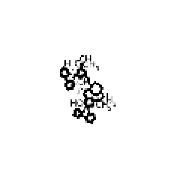 C=C(Cc1cc(C(C)(C)C)cc(-n2c3ccccc3c3ccccc32)c1O)C1CCCCCC[C@@H]1SCc1cc(C(C)(C)C)cc(-n2c3ccccc3c3ccccc32)c1O